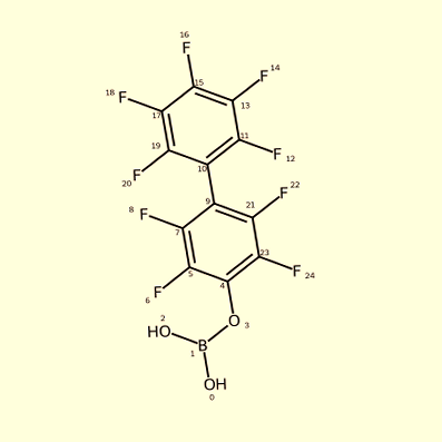 OB(O)Oc1c(F)c(F)c(-c2c(F)c(F)c(F)c(F)c2F)c(F)c1F